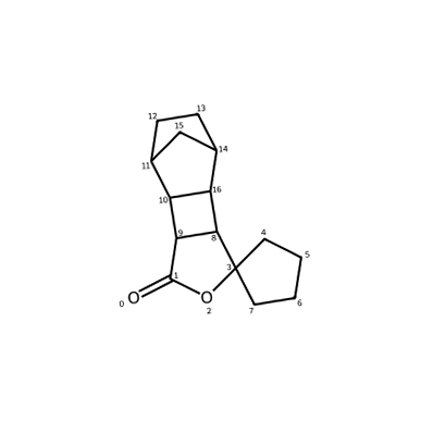 O=C1OC2(CCCC2)C2C1C1C3CCC(C3)C12